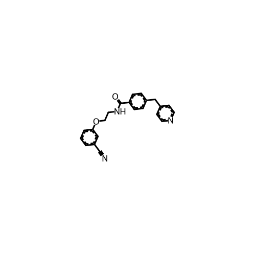 N#Cc1cccc(OCCNC(=O)c2ccc(Cc3ccncc3)cc2)c1